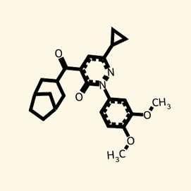 COc1ccc(-n2nc(C3CC3)cc(C(=O)C3CC4CCC(C4)C3)c2=O)cc1OC